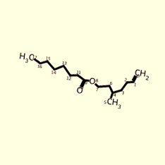 C=CCCC(C)CCOC(=O)CCCCCCC